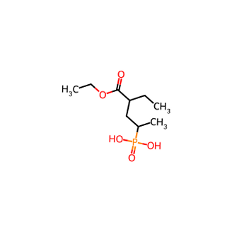 CCOC(=O)C(CC)CC(C)P(=O)(O)O